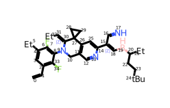 C=Cc1cc(CC)c(F)c(N2Cc3cnc(/C(C=N)=C/BC(CC)CCC(C)(C)C)cc3C3(CC3)/C2=C/CC)c1F